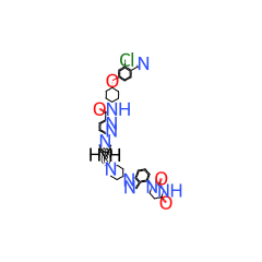 N#Cc1ccc(O[C@H]2CC[C@H](NC(=O)c3ccc(N4C[C@@H]5[C@H](CN6CCC(n7ncc8c(N9CCC(=O)NC9=O)cccc87)CC6)[C@@H]5C4)nn3)CC2)cc1Cl